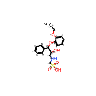 CCOc1ccccc1OC(c1ccccc1)C(O)CNCS(=O)(=O)O